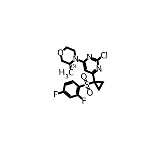 C[C@H]1COCCN1c1cc(C2(S(=O)(=O)c3ccc(F)cc3F)CC2)nc(Cl)n1